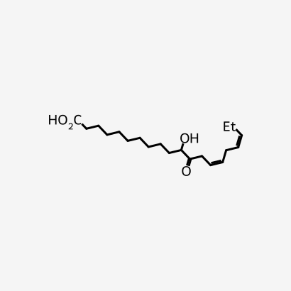 CC/C=C\C/C=C\CC(=O)C(O)CCCCCCCCCC(=O)O